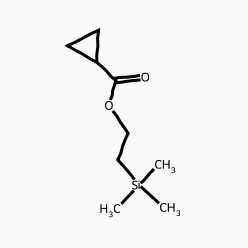 C[Si](C)(C)CCOC(=O)C1CC1